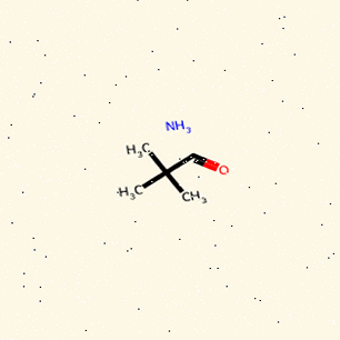 CC(C)(C)C=O.N